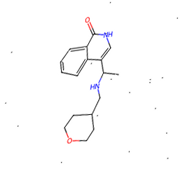 CC(NCC1CCOCC1)c1c[nH]c(=O)c2ccccc12